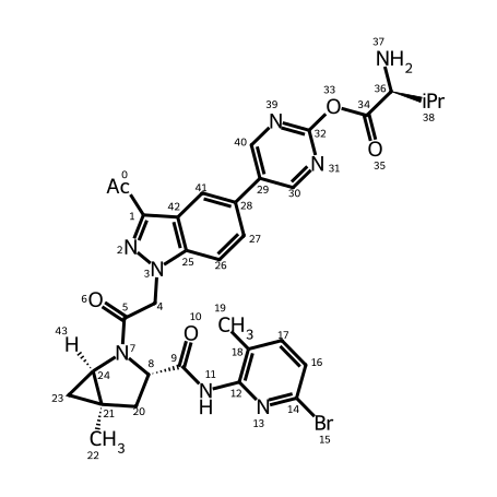 CC(=O)c1nn(CC(=O)N2[C@H](C(=O)Nc3nc(Br)ccc3C)C[C@@]3(C)C[C@@H]23)c2ccc(-c3cnc(OC(=O)[C@@H](N)C(C)C)nc3)cc12